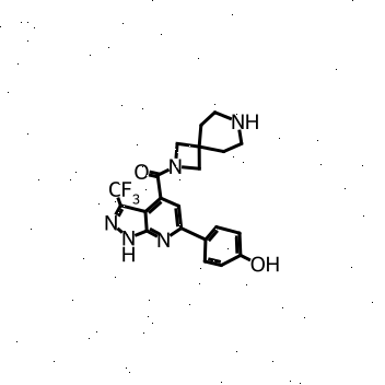 O=C(c1cc(-c2ccc(O)cc2)nc2[nH]nc(C(F)(F)F)c12)N1CC2(CCNCC2)C1